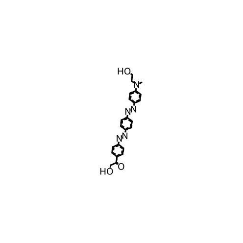 CN(CCO)c1ccc(N=Nc2ccc(N=Nc3ccc(C(=O)CO)cc3)cc2)cc1